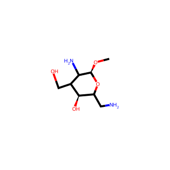 CO[C@H]1OC(CN)[C@@H](O)C(CO)C1N